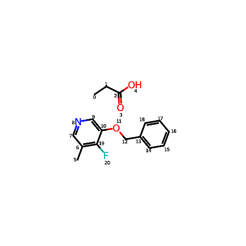 CCC(=O)O.Cc1cncc(OCc2ccccc2)c1F